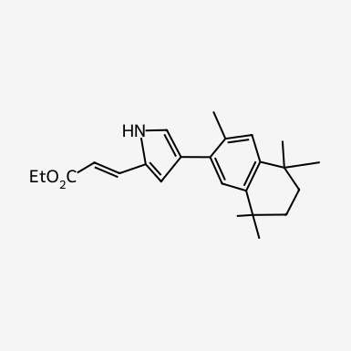 CCOC(=O)/C=C/c1cc(-c2cc3c(cc2C)C(C)(C)CCC3(C)C)c[nH]1